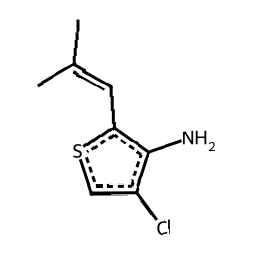 CC(C)=Cc1scc(Cl)c1N